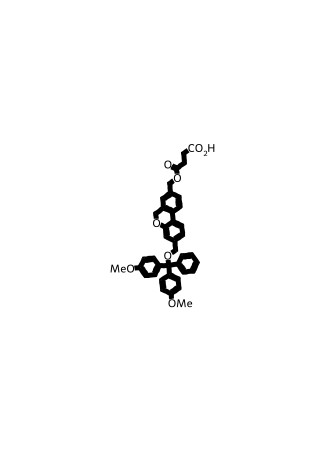 COc1ccc(C(OCc2ccc3c(c2)OCc2cc(COC(=O)CCC(=O)O)ccc2-3)(c2ccccc2)c2ccc(OC)cc2)cc1